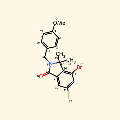 COc1ccc(CN2C(=O)c3cc(F)cc(Br)c3C2(C)C)cc1